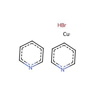 Br.[Cu].c1ccncc1.c1ccncc1